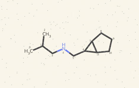 CC(C)CNCC1C2CCCC21